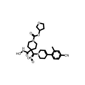 Cc1cc(C#N)ccc1C1=CCN(C(=S(=O)=O)C2(C(=O)NO)CCN(C(=O)OC3CCOC3)CC2)CC1